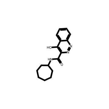 O=C(NC1CCCCCC1)c1nnc2ccccc2c1O